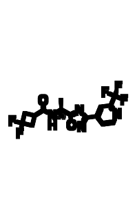 C[C@H](NC(=O)C1CC(F)(F)C1)c1nc(-c2ccnc(C(F)(F)F)c2)no1